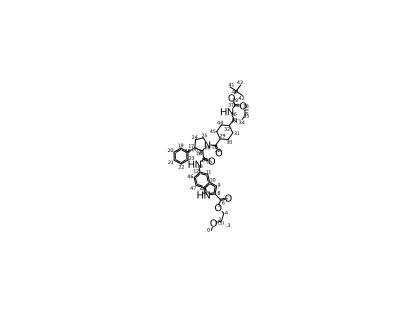 CO[C@@H](C)COC(=O)c1cc2cc(NC(=O)[C@H]3[C@@H](c4ccccc4)CCN3C(=O)C3CCC([C@@H](CF)NC(=O)OC(C)(C)C)CC3)ccc2[nH]1